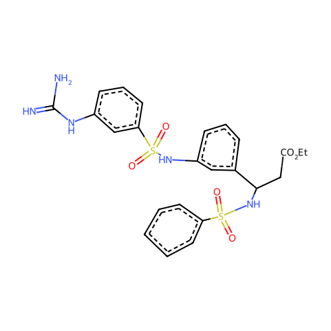 CCOC(=O)CC(NS(=O)(=O)c1ccccc1)c1cccc(NS(=O)(=O)c2cccc(NC(=N)N)c2)c1